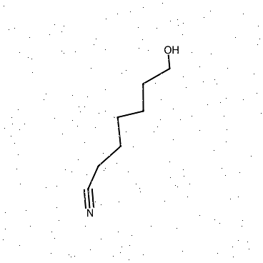 N#CCC[CH]CCCO